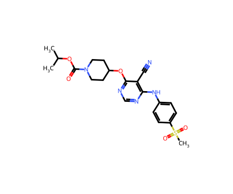 CC(C)OC(=O)N1CCC(Oc2ncnc(Nc3ccc(S(C)(=O)=O)cc3)c2C#N)CC1